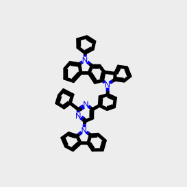 c1ccc(-c2nc(-c3cccc(-n4c5ccccc5c5cc6c(cc54)c4ccccc4n6-c4ccccc4)c3)cc(-n3c4ccccc4c4ccccc43)n2)cc1